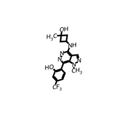 Cn1ncc2c(NC3CC(C)(O)C3)nnc(-c3ccc(C(F)(F)F)cc3O)c21